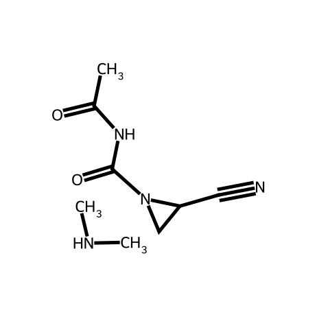 CC(=O)NC(=O)N1CC1C#N.CNC